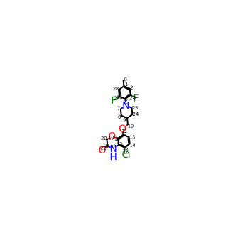 Cc1cc(F)c(N2CCC(COc3ccc(Cl)c4c3OCC(=O)N4)CC2)c(F)c1